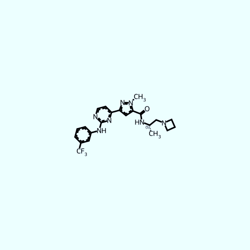 C[C@@H](CN1CCC1)NC(=O)c1cc(-c2ccnc(Nc3cccc(C(F)(F)F)c3)n2)nn1C